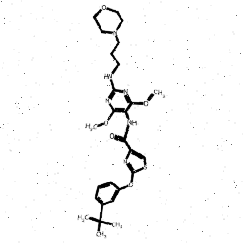 COc1nc(NCCCN2CCOCC2)nc(OC)c1NC(=O)c1csc(Oc2cccc(C(C)(C)C)c2)n1